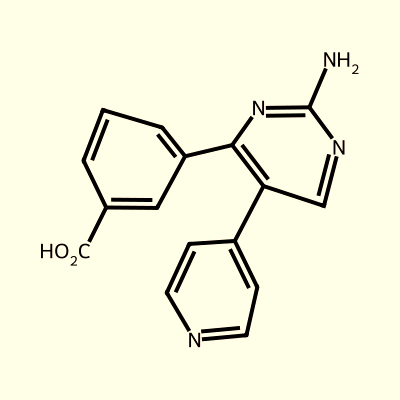 Nc1ncc(-c2ccncc2)c(-c2cccc(C(=O)O)c2)n1